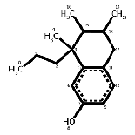 CCCC1(C)c2cc(O)ccc2CC(C)C1C